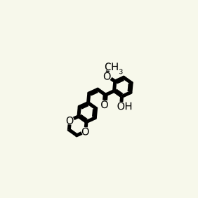 COc1cccc(O)c1C(=O)/C=C\c1ccc2c(c1)OCCO2